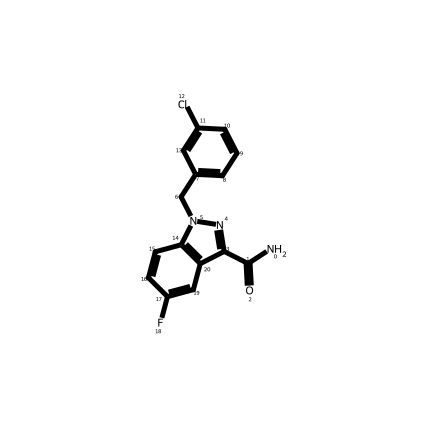 NC(=O)c1nn(Cc2cccc(Cl)c2)c2ccc(F)cc12